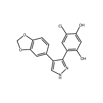 Oc1cc(O)c(-c2n[nH]cc2-c2ccc3c(c2)OCO3)cc1Cl